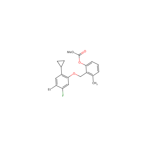 CCc1cc(C2CC2)c(OCc2c(C)cccc2OC(=O)OC)cc1F